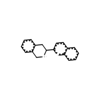 [C]1NC(c2ccc3ccccc3n2)Cc2ccccc21